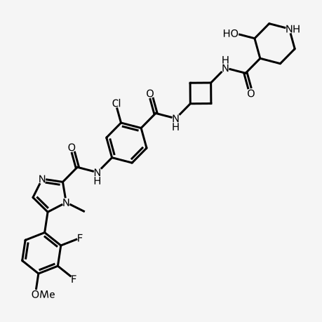 COc1ccc(-c2cnc(C(=O)Nc3ccc(C(=O)NC4CC(NC(=O)C5CCNCC5O)C4)c(Cl)c3)n2C)c(F)c1F